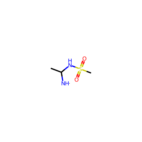 CC([NH])NS(C)(=O)=O